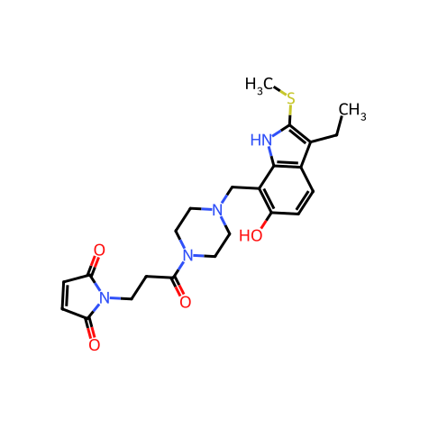 CCc1c(SC)[nH]c2c(CN3CCN(C(=O)CCN4C(=O)C=CC4=O)CC3)c(O)ccc12